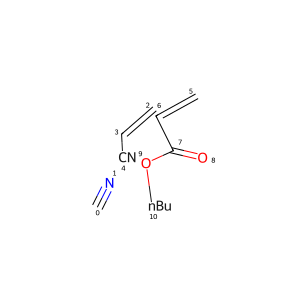 C#N.C=CC#N.C=CC(=O)OCCCC